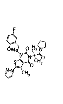 COc1ccc(F)cc1CCn1c(=O)n(C(C)(C)C(=O)N2CCCC2)c(=O)c2c(C)c(-n3cccn3)sc21